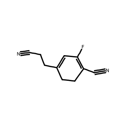 N#CCCC1=CC(F)=C(C#N)CC1